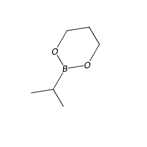 CC(C)B1OCCCO1